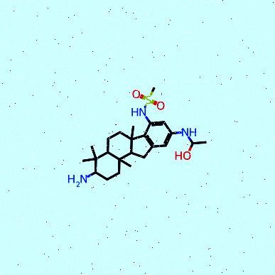 CC(O)Nc1cc2c(c(NS(C)(=O)=O)c1)C1(C)CCC3C(C)(C)C(N)CCC3(C)C1C2